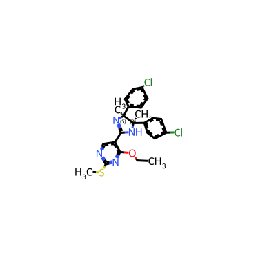 CCOc1nc(SC)ncc1C1=N[C@@](C)(c2ccc(Cl)cc2)[C@@](C)(c2ccc(Cl)cc2)N1